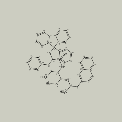 CC(C)(C)OC(=NC(Cc1ccc2ccccc2c1)C(=O)O)C(CC(=O)O)NC(=O)C(Cc1ccccc1)SC(c1ccccc1)(c1ccccc1)c1ccccc1